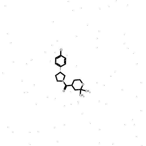 CC1(C)CC(C(=O)N2CC[C@H](c3ccc(Cl)cc3)C2)CCO1